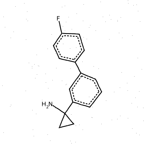 NC1(c2cccc(-c3ccc(F)cc3)c2)CC1